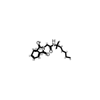 CCCCCC(C)(C)NC(=O)CN1C(=O)c2ccccc2C1=O